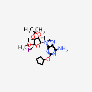 CO[C@]1(CI)O[C@@H](n2cnc3c(N)nc(OC4CCCC4)nc32)[C@@H]2OC(C)(C)O[C@@H]21